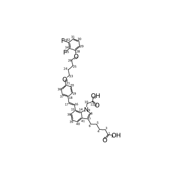 O=C(O)CCCCc1cn(CC(=O)O)c2c(C=Cc3ccc(OCCCCOc4cccc(F)c4F)cc3)cccc12